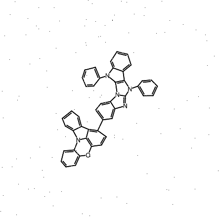 c1ccc(-n2c3c4ccccc4n(-c4ccccc4)c3n3c4ccc(-c5ccc6c7c5c5ccccc5n7-c5ccccc5O6)cc4nc23)cc1